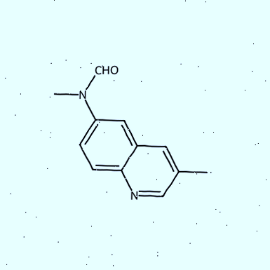 [CH2]c1cnc2ccc(N(C)C=O)cc2c1